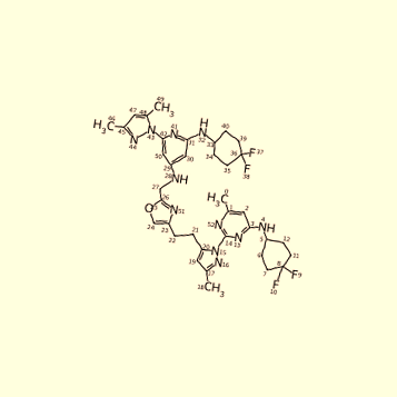 Cc1cc(NC2CCC(F)(F)CC2)nc(-n2nc(C)cc2CCc2coc(CNc3cc(NC4CCC(F)(F)CC4)nc(-n4nc(C)cc4C)c3)n2)n1